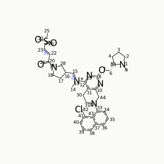 CN1CCC[C@H]1COc1nc2c(c(/[N+](C)=C/C3CCN(C(=O)/C=C/S(C)(=O)=O)C3)n1)CCN(c1cccc3cccc(Cl)c13)C2